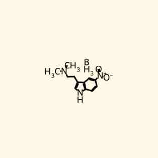 B.CN(C)CCc1c[nH]c2ccc([N+](=O)[O-])cc12